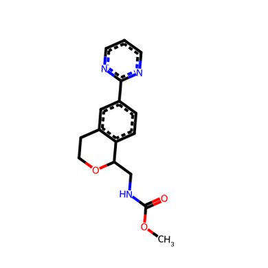 COC(=O)NCC1OCCc2cc(-c3ncccn3)ccc21